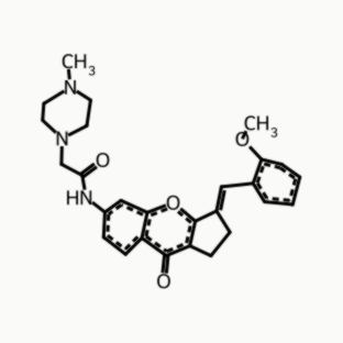 COc1ccccc1C=C1CCc2c1oc1cc(NC(=O)CN3CCN(C)CC3)ccc1c2=O